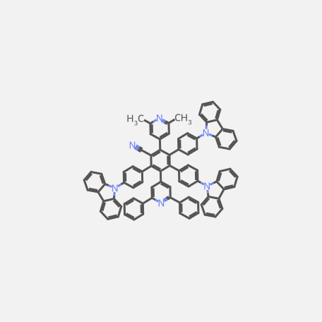 Cc1cc(-c2c(C#N)c(-c3ccc(-n4c5ccccc5c5ccccc54)cc3)c(-c3cc(-c4ccccc4)nc(-c4ccccc4)c3)c(-c3ccc(-n4c5ccccc5c5ccccc54)cc3)c2-c2ccc(-n3c4ccccc4c4ccccc43)cc2)cc(C)n1